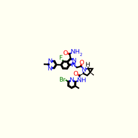 Cc1ncc(-c2ccc3c(c(C(N)=O)nn3CC(=O)N3[C@H](C(=O)Nc4nc(Br)ccc4C)C[C@@]4(C)C[C@@H]34)c2F)cn1